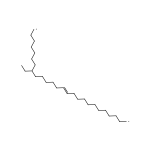 [CH2]CCCCCCCCCCC=CCCCCCC(CC)CCCCCC[CH2]